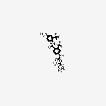 CC(C)(C)OC(=O)Nc1ccc(C(=O)Nc2ccc(N)cc2C(F)(F)F)c(C(F)(F)F)c1